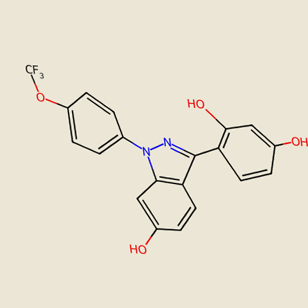 Oc1ccc(-c2nn(-c3ccc(OC(F)(F)F)cc3)c3cc(O)ccc23)c(O)c1